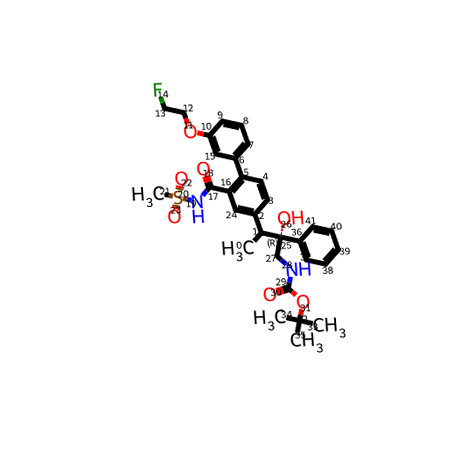 CC(c1ccc(-c2cccc(OCCF)c2)c(C(=O)NS(C)(=O)=O)c1)[C@](O)(CNC(=O)OC(C)(C)C)c1ccccc1